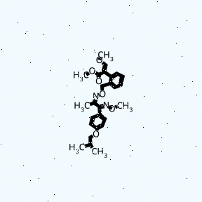 COC=C(C(=O)OC)c1ccccc1CON=C(C)C(=NOC)c1ccc(OCC(C)C)cc1